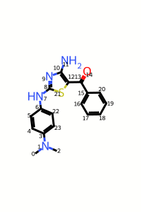 CN(C)c1ccc(Nc2nc(N)c(C(=O)c3ccccc3)s2)cc1